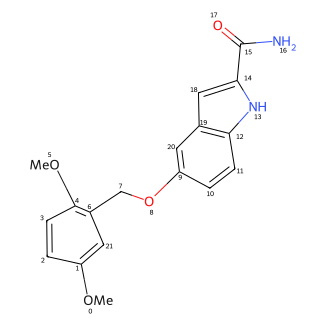 COc1ccc(OC)c(COc2ccc3[nH]c(C(N)=O)cc3c2)c1